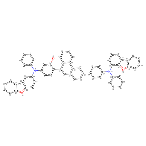 c1ccc(N(c2ccc3c(c2)Oc2cccc4c2c-3cc2ccc(-c3ccc(N(c5ccccc5)c5cccc6c5oc5ccccc56)cc3)cc24)c2ccc3oc4ccccc4c3c2)cc1